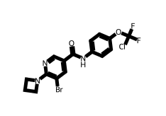 O=C(Nc1ccc(OC(F)(F)Cl)cc1)c1cnc(N2CCC2)c(Br)c1